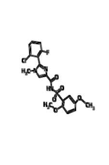 COc1ccc(OC)c(S(=O)(=O)NC(=O)c2cn(C)c(-c3c(F)cccc3Cl)n2)c1